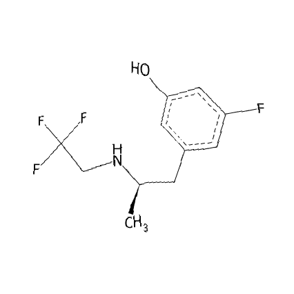 C[C@H](Cc1cc(O)cc(F)c1)NCC(F)(F)F